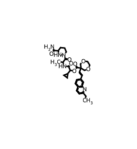 CCc1ccc2ccc(/C=C/C3(C(=O)OC(C(=O)NC(C)C(=O)N4CCCC(C(N)=O)N4)C4CC4)COCCOC3)cc2n1